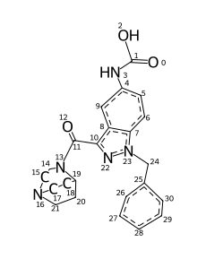 O=C(O)Nc1ccc2c(c1)c(C(=O)N1CCN3CCC1CC3)nn2Cc1ccccc1